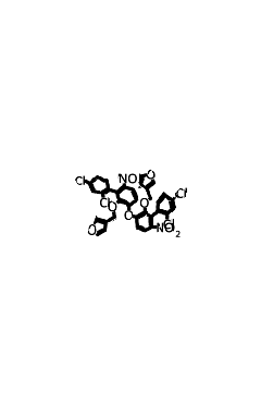 O=[N+]([O-])c1ccc(Oc2ccc([N+](=O)[O-])c(-c3ccc(Cl)cc3Cl)c2OCc2ccoc2)c(OCc2ccoc2)c1-c1ccc(Cl)cc1Cl